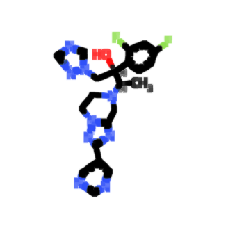 C[C@@H](N1CCn2nc(-c3cncnc3)nc2C1)[C@](O)(Cn1cncn1)c1ccc(F)cc1F